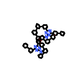 c1ccc(-c2ccc(-c3nc(-c4cccc(-c5cccc(-c6cccc(-c7ccc(-c8ccc(-c9cccc%10c%11ccccc%11n(-c%11nc(-c%12ccccc%12)nc(-c%12cccc(-c%13ccccc%13)c%12)n%11)c9%10)cc8)cc7)c6)c5)c4)nc(-n4c5ccccc5c5cccc(-c6ccccc6)c54)n3)cc2)cc1